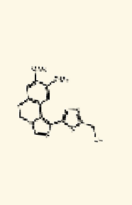 COc1cc2c(cc1OC)-c1c(-c3cnc(CO)s3)ncn1CC2